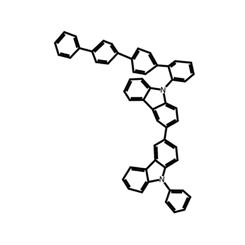 c1ccc(-c2ccc(-c3ccc(-c4ccccc4-n4c5ccccc5c5cc(-c6ccc7c(c6)c6ccccc6n7-c6ccccc6)ccc54)cc3)cc2)cc1